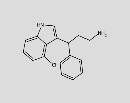 NCCC(c1ccccc1)c1c[nH]c2cccc(Cl)c12